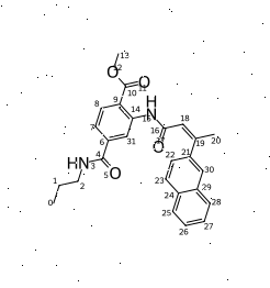 CCCNC(=O)c1ccc(C(=O)OC)c(NC(=O)/C=C(/C)c2ccc3ccccc3c2)c1